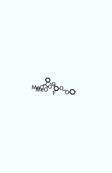 COC=C(C(=O)OC)c1ccccc1COc1cc(F)cc(OCCOc2ccccc2)c1